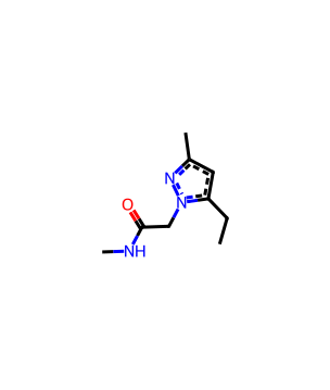 CCc1cc(C)nn1CC(=O)NC